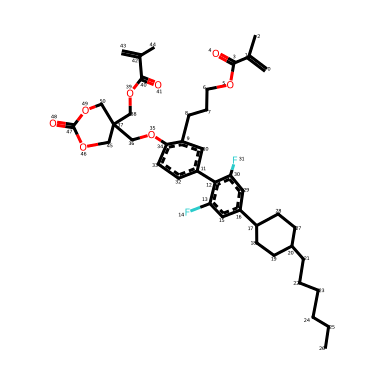 C=C(C)C(=O)OCCCc1cc(-c2c(F)cc(C3CCC(CCCCCC)CC3)cc2F)ccc1OCC1(COC(=O)C(=C)C)COC(=O)OC1